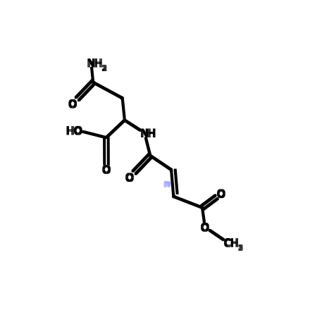 COC(=O)/C=C/C(=O)NC(CC(N)=O)C(=O)O